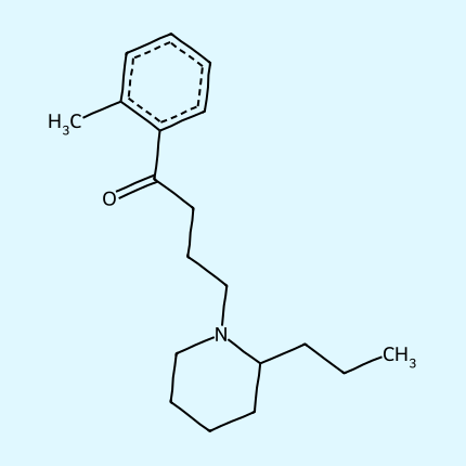 CCCC1CCCCN1CCCC(=O)c1ccccc1C